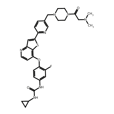 CN(C)CC(=O)N1CCN(Cc2ccc(-c3cc4nccc(Oc5ccc(NC(=O)NC6CC6)cc5F)c4s3)nc2)CC1